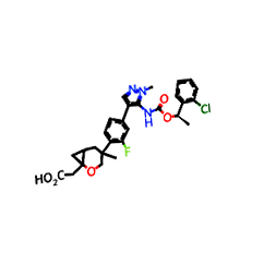 C[C@@H](OC(=O)Nc1c(-c2ccc(C3(C)COC4(CC(=O)O)CC4C3)c(F)c2)cnn1C)c1ccccc1Cl